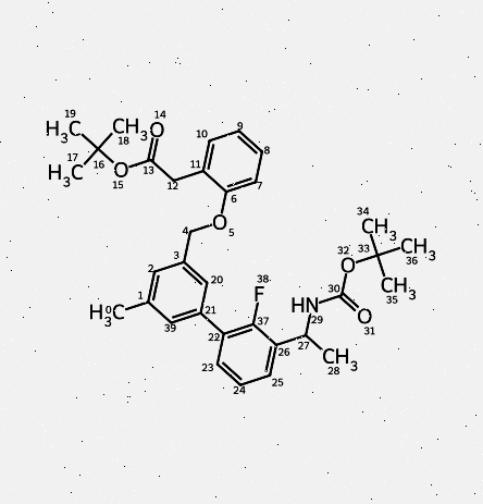 Cc1cc(COc2ccccc2CC(=O)OC(C)(C)C)cc(-c2cccc(C(C)NC(=O)OC(C)(C)C)c2F)c1